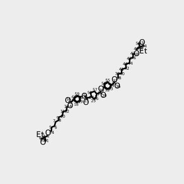 CCC1(COCCCCCCCCCCOC(=O)c2ccc(OC(=O)C3CCC(C(=O)Oc4ccc(C(=O)OCCCCCCCCCCOCC5(CC)COC5)cc4)CC3)cc2)COC1